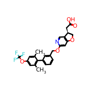 Cc1cc(OC(F)(F)F)cc(C)c1-c1cccc(COc2cc3c(cn2)[C@@H](CC(=O)O)CO3)c1